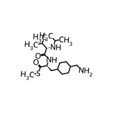 CSC(=O)[C@H](CC1CCC(CN)CC1)NC(=O)[C@@H](NC(C)C)C(C)C